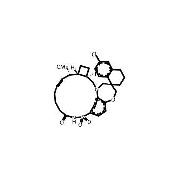 CO[C@H]1C=CCCCC(=O)NS(=O)(=O)c2ccc3c(c2)N(C[C@@H]2CC[C@H]21)C[C@@]1(CCCc2cc(Cl)ccc21)CO3